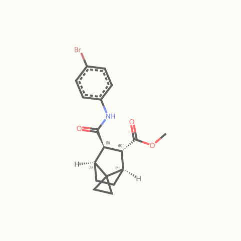 COC(=O)[C@H]1[C@H](C(=O)Nc2ccc(Br)cc2)[C@@H]2CC[C@H]1C21CC1